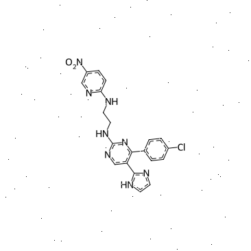 O=[N+]([O-])c1ccc(NCCNc2ncc(-c3ncc[nH]3)c(-c3ccc(Cl)cc3)n2)nc1